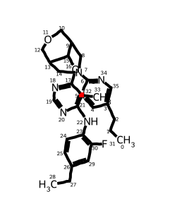 CCCc1cnc(N2CC3COCC(C2)C3Oc2ncnc(Nc3ccc(CC)cc3F)c2C)nc1